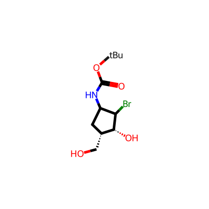 CC(C)(C)OC(=O)NC1C[C@@H](CO)[C@@H](O)C1Br